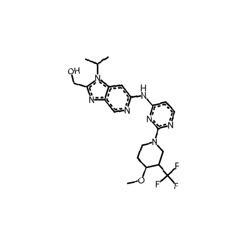 COC1CCN(c2nccc(Nc3cc4c(cn3)nc(CO)n4C(C)C)n2)CC1C(F)(F)F